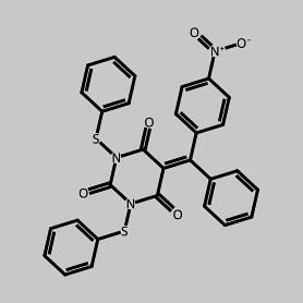 O=C1C(=C(c2ccccc2)c2ccc([N+](=O)[O-])cc2)C(=O)N(Sc2ccccc2)C(=O)N1Sc1ccccc1